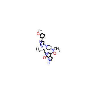 C=CCn1cc(C(=O)N(C)C2CCN(c3cc(-c4cccc(OC(C)C)c4)ncn3)CC2)c2cc[nH]c2c1=O